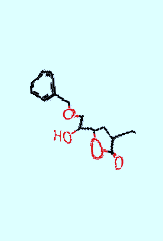 CC1CC(C(O)COCc2ccccc2)OC1=O